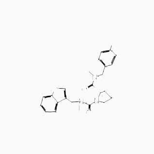 CN(Cc1ccc(Cl)cc1)C(=O)[C@H]1CCCN1C(=O)NCc1csc2ccccc12